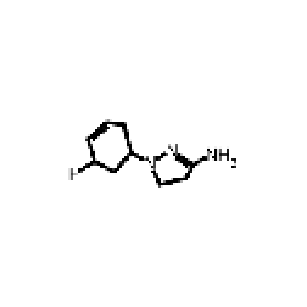 NC1=NN(C2CC=CC(F)C2)CC1